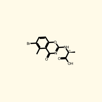 Cc1c(Br)ccc2oc(N[C@@H](C)C(=O)O)nc(=O)c12